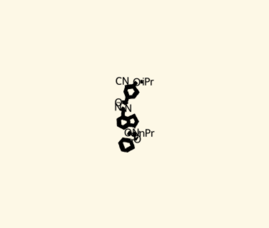 CCCN([C@H]1CCc2c(-c3noc(-c4ccc(OC(C)C)c(C#N)c4)n3)cccc21)S(=O)(=O)c1ccccc1